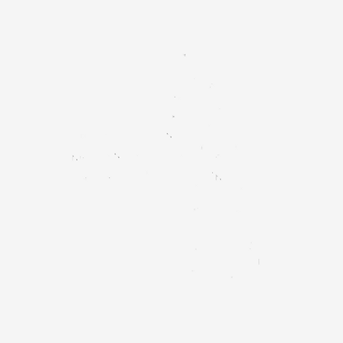 O=C(Cn1cc(C(=O)N2CCC(c3ccccc3C(F)(F)F)CC2)c2ccc(Cl)cc21)N1CCNCC1